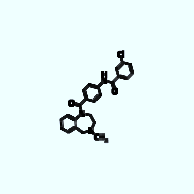 CN1CCN(C(=O)c2ccc(NC(=O)c3cccc(Cl)c3)cc2)c2ccccc2C1